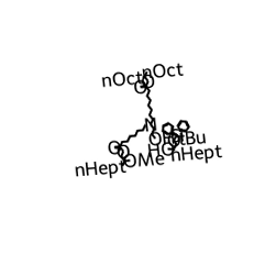 CCCCCCCC(O)CO[Si](c1ccccc1)(c1ccccc1)C(C)(C)C.CCCCCCCCC(CCCCCCCC)OC(=O)CCCCCCCN(CCO)CCCCCCCC(=O)OCC(CCCCCCC)OC